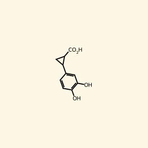 O=C(O)C1CC1c1ccc(O)c(O)c1